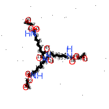 O=C(NCCCCCCC1C(=O)N(CCCCCCNC(=O)OCC2CO2)C(=O)N(CCCCCCNC(=O)OCC2CO2)C1=O)OCC1CO1